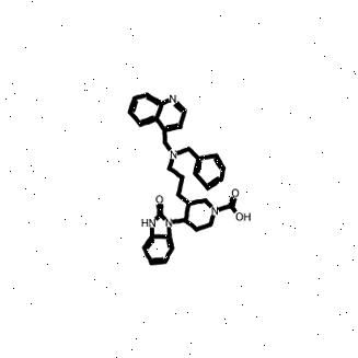 O=C(O)N1CCC(n2c(=O)[nH]c3ccccc32)C(CCCN(Cc2ccccc2)Cc2ccnc3ccccc23)C1